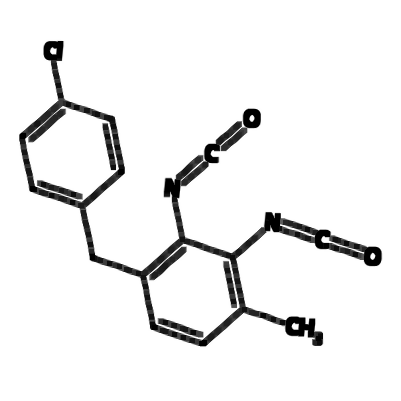 Cc1ccc(Cc2ccc(Cl)cc2)c(N=C=O)c1N=C=O